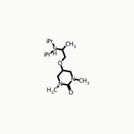 CC(C)[SiH](C(C)C)C(C)COC1CN(C)C(=O)N(C)C1